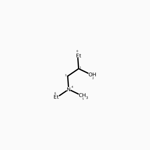 CCC(O)CN(C)CC